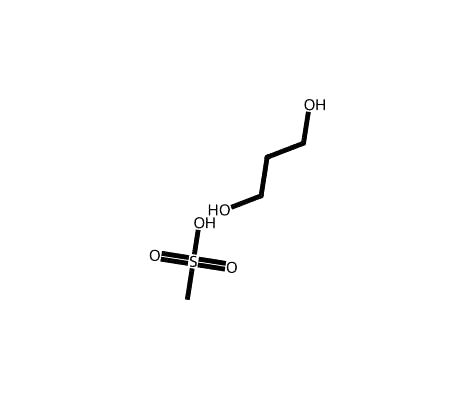 CS(=O)(=O)O.OCCCO